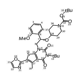 COc1ccccc1C(Cn1c(=O)n(C(C)(C)C)c(=O)c2c(C)c(-c3ncco3)sc21)OC1CCN(C(=O)OC(C)(C)C)CC1